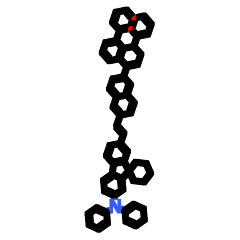 C1=CC(N(c2ccccc2)c2ccc3c(c2)C2(CCCCC2)c2cc(/C=C/c4ccc5cc(C6=CCC(c7ccccc7)c7c6cccc7-c6ccccc6)ccc5c4)ccc2-3)=CCC1